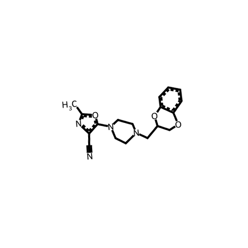 Cc1nc(C#N)c(N2CCN(CC3COc4ccccc4O3)CC2)o1